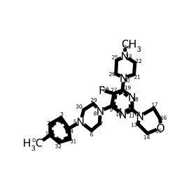 Cc1ccc(N2CCN(c3nc(N4CCOCC4)nc(N4CCN(C)CC4)c3F)CC2)cc1